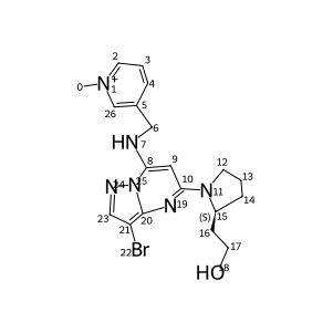 C[n+]1cccc(CNc2cc(N3CCC[C@H]3CCO)nc3c(Br)cnn23)c1